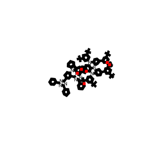 CC(C)(C)c1cc(-c2ccc3c(c2)B2c4cc(-c5cc(C(C)(C)C)cc(C(C)(C)C)c5)ccc4N(c4cc(C(C)(C)C)cc(C(C)(C)C)c4)c4cc(-c5ccc6c(c5)c5ccccc5n6-c5ccc(-c6nc(-c7ccccc7)nc(-c7ccccc7)n6)cc5-c5nc(-c6ccccc6)nc(-c6ccccc6)n5)cc(c42)N3c2cc(C(C)(C)C)cc(C(C)(C)C)c2)cc(C(C)(C)C)c1